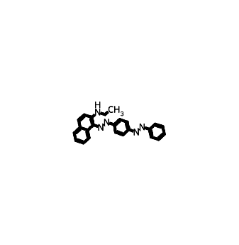 CCNc1ccc2ccccc2c1/N=N/c1ccc(/N=N/c2ccccc2)cc1